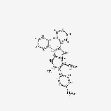 COc1ccc(-c2c(Cl)nc3c(-c4ccccc4)c(-c4ccccc4)nn3c2OC)cc1